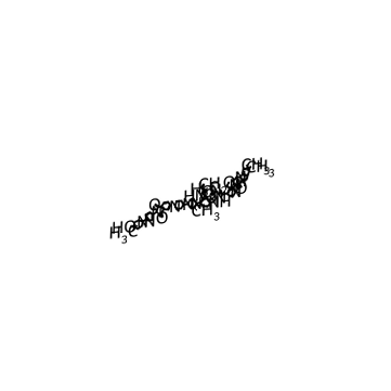 C=CC(=O)Nc1cc(Nc2nc(-c3ccnc(N4CCn5c(cc6c5CC(C)(C)C6)C4=O)c3CO)cn(C)c2=O)ccc1N1CCN(C2CCN(c3ccc4c(c3)C(=O)N(c3ccc(N5CCC(C)(O)CC5)nc3)C4=O)CC2)C[C@@H]1C